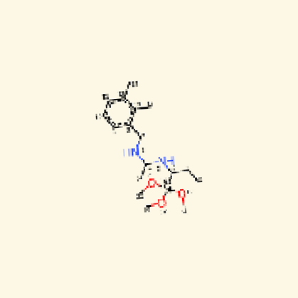 CCC(NC(C)NCc1cccc(C)c1C)[Si](OC)(OC)OC